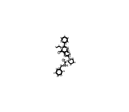 CCn1c(-c2ccccn2)nc2sc(N3CCC[C@@H]3C(=O)NCc3ccccc3)nc2c1=O